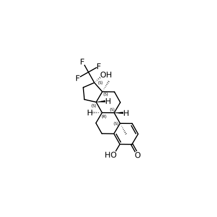 C[C@]12C=CC(=O)C(O)=C1CC[C@@H]1[C@@H]2CC[C@@]2(C)[C@H]1CC[C@@]2(O)C(F)(F)F